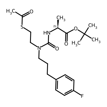 CC(=O)SCCN(CCCc1ccc(F)cc1)C(=O)N[C@@H](C)C(=O)OC(C)(C)C